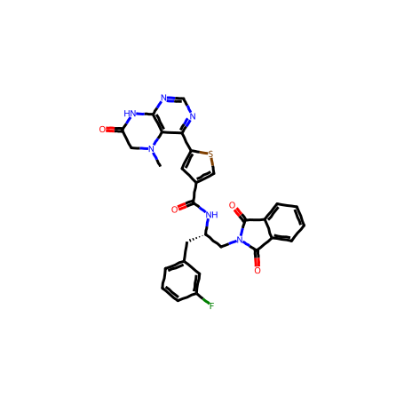 CN1CC(=O)Nc2ncnc(-c3cc(C(=O)N[C@@H](Cc4cccc(F)c4)CN4C(=O)c5ccccc5C4=O)cs3)c21